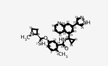 Cc1ccc(OC([SiH3])[C@@H]2CCN2C)cc1C(=O)NC1(c2cc(-c3cn[nH]c3)cc3ncccc23)CC1